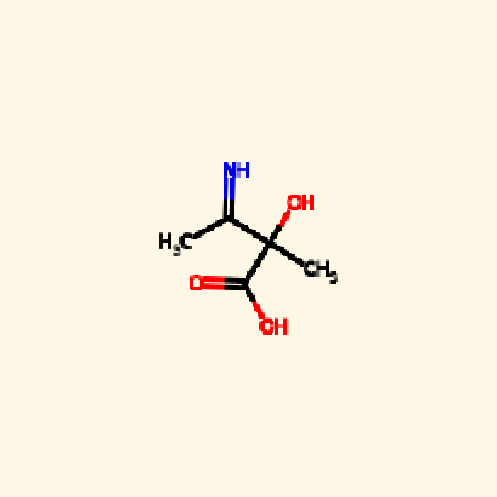 CC(=N)C(C)(O)C(=O)O